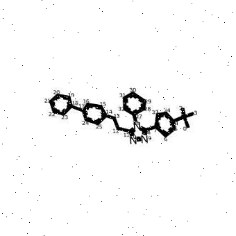 CC(C)(C)c1ccc(-c2nnc(CCc3ccc(-c4ccccc4)cc3)n2-c2ccccc2)cc1